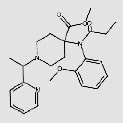 CCC(=O)N(c1ccccc1OC)C1(C(=O)OC)CCN(C(C)c2ccccn2)CC1